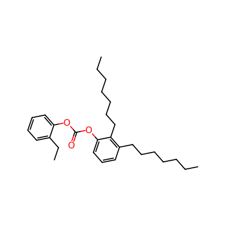 CCCCCCCc1cccc(OC(=O)Oc2ccccc2CC)c1CCCCCCC